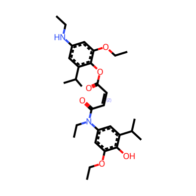 CCNc1cc(OCC)c(OC(=O)/C=C\C(=O)N(CC)c2cc(OCC)c(O)c(C(C)C)c2)c(C(C)C)c1